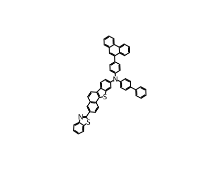 c1ccc(-c2ccc(N(c3ccc(-c4cc5ccccc5c5ccccc45)cc3)c3ccc4c(c3)sc3c5ccc(-c6nc7ccccc7s6)cc5ccc43)cc2)cc1